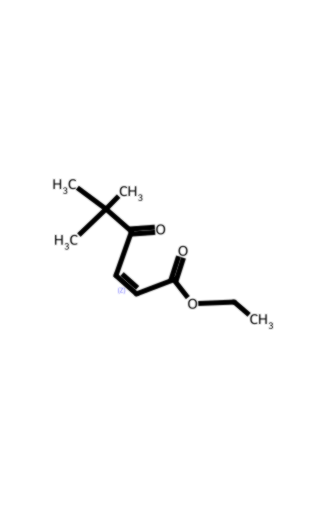 CCOC(=O)/C=C\C(=O)C(C)(C)C